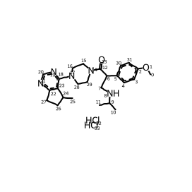 COc1ccc(C(CNC(C)C)C(=O)N2CCN(c3ncnc4c3C(C)CC4)CC2)cc1.Cl.Cl